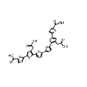 O=C(O)Cc1cc(-c2ccc(C(=O)O)s2)sc1-c1ccc(-c2ccc(-c3sc(-c4ccc(C(=O)O)s4)cc3CC(=O)O)s2)s1